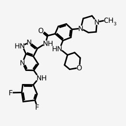 CN1CCN(c2ccc(C(=O)Nc3n[nH]c4ncc(Nc5cc(F)cc(F)c5)cc34)c(NC3CCOCC3)c2)CC1